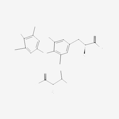 CC(C)[C@H](N)C(=O)O.N[C@@H](Cc1cc(I)c(Oc2cc(I)c(O)c(I)c2)c(I)c1)C(=O)O